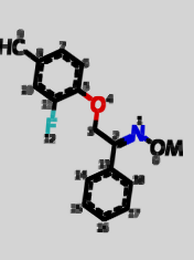 CON=C(COc1ccc(C=O)cc1F)c1ccccc1